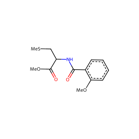 COC(=O)C(CSC)NC(=O)c1ccccc1OC